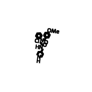 COc1ccc(C(=O)N(CC(=O)NCC2CCNCC2)c2ccccc2Cl)cc1